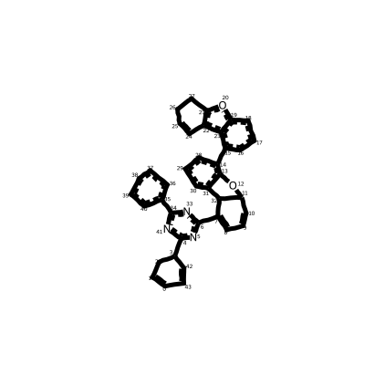 C1=CCC(c2nc(C3=CC=CC4Oc5c(-c6cccc7oc8c(c67)C=CCC8)cccc5C34)nc(-c3ccccc3)n2)C=C1